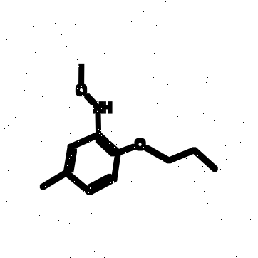 CCCOc1ccc(C)cc1NOC